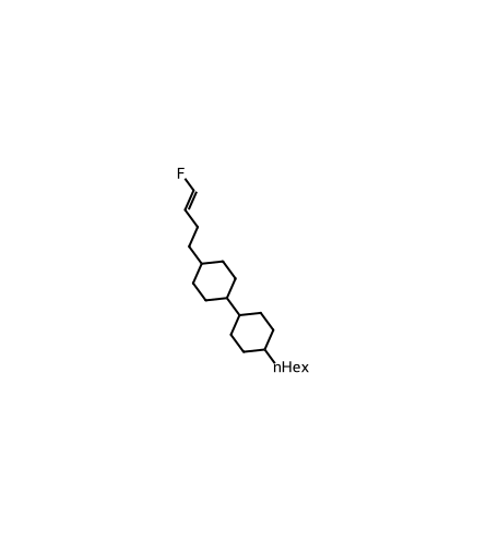 CCCCCCC1CCC(C2CCC(CCC=CF)CC2)CC1